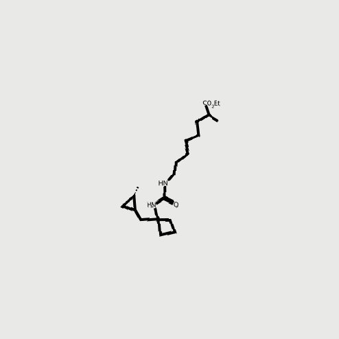 CCOC(=O)C(C)CCCCCCNC(=O)NC1(CC2C[C@@H]2C)CCC1